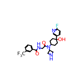 O=C(NCC(=O)N(C1CCC(O)(c2ccc(F)nc2)CC1)C1CNC1)c1cccc(C(F)(F)F)c1